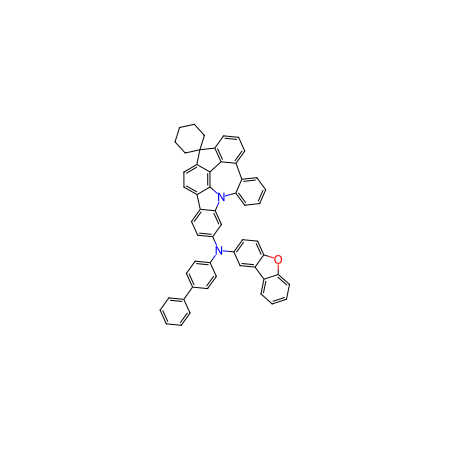 c1ccc(-c2ccc(N(c3ccc4oc5ccccc5c4c3)c3ccc4c5ccc6c7c5n(c4c3)-c3ccccc3-c3cccc(c3-7)C63CCCCC3)cc2)cc1